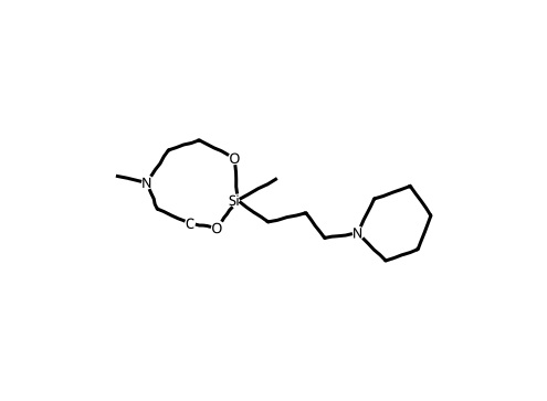 CN1CCO[Si](C)(CCCN2CCCCC2)OCC1